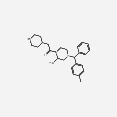 Cc1ccc(C(c2ccccc2)N2CCN(C(=O)CC3CCNCC3)C(C(C)(C)C)C2)cc1